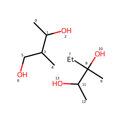 CC(O)C(C)CO.CCC(C)(O)C(C)O